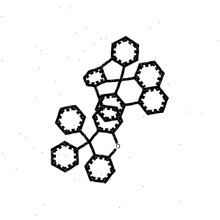 c1ccc(C2(c3ccccc3)c3ccccc3Oc3ccc(-c4cccc5c4C4(c6ccccc6-5)c5ccccc5-c5cccc6cccc4c56)cc32)cc1